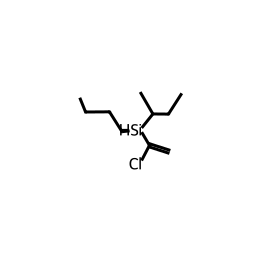 C=C(Cl)[SiH](CCCC)C(C)CC